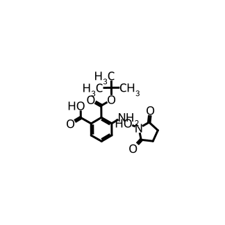 CC(C)(C)OC(=O)c1c(N)cccc1C(=O)O.O=C1CCC(=O)N1O